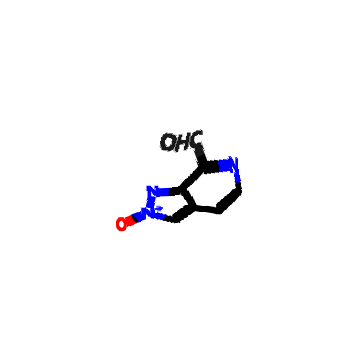 O=Cc1nccc2c1=N[N+](=O)C=2